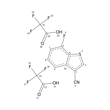 N#Cc1csc2c(F)cccc12.O=C(O)C(F)(F)F.O=C(O)C(F)(F)F